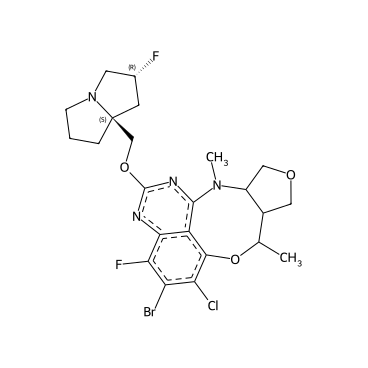 CC1Oc2c(Cl)c(Br)c(F)c3nc(OC[C@@]45CCCN4C[C@H](F)C5)nc(c23)N(C)C2COCC12